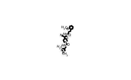 COc1ccccc1CCC(=O)Nc1sc2c(c1C#N)CCN(C(=O)NCc1cn(C)nc1C)C2